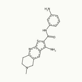 CN1CCc2nc3sc(C(=O)Nc4cccc(N)c4)c(N)c3cc2C1